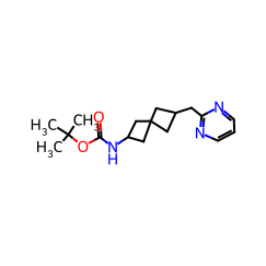 CC(C)(C)OC(=O)NC1CC2(CC(Cc3ncccn3)C2)C1